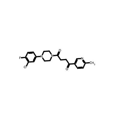 Cc1ccc(C(=O)CCC(=O)N2CCN(c3ccc(F)c(Cl)c3)CC2)cn1